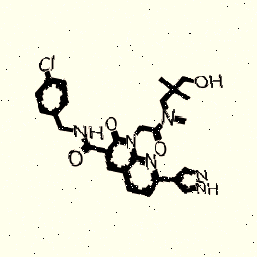 CN(CC(C)(C)CO)C(=O)Cn1c(=O)c(C(=O)NCc2ccc(Cl)cc2)cc2ccc(-c3cn[nH]c3)nc21